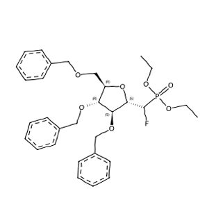 CCOP(=O)(OCC)C(F)[C@H]1O[C@H](COCc2ccccc2)[C@@H](OCc2ccccc2)[C@@H]1OCc1ccccc1